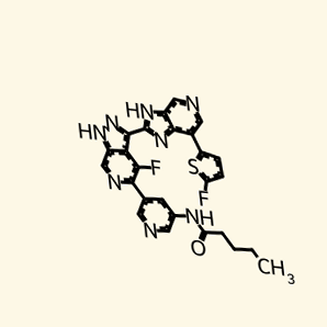 CCCCC(=O)Nc1cncc(-c2ncc3[nH]nc(-c4nc5c(-c6ccc(F)s6)cncc5[nH]4)c3c2F)c1